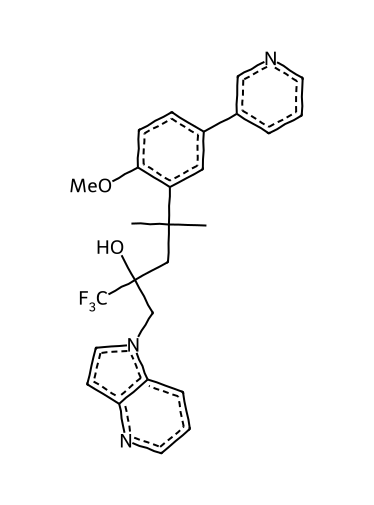 COc1ccc(-c2cccnc2)cc1C(C)(C)CC(O)(Cn1ccc2ncccc21)C(F)(F)F